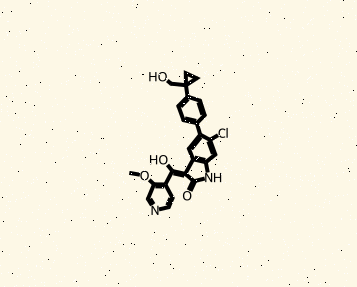 COc1cnccc1C(O)=C1C(=O)Nc2cc(Cl)c(-c3ccc(C4(CO)CC4)cc3)cc21